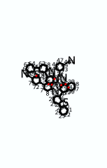 N#Cc1ccc(-c2ccc(-n3c4ccccc4c4c5sc6ccccc6c5ccc43)c(-c3nc(-c4ccccc4)nc(-c4cc(C#N)ccc4-n4c5ccccc5c5c6sc7ccccc7c6ccc54)n3)c2)cc1